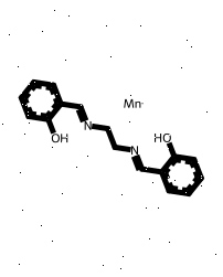 Oc1ccccc1/C=N/CC/N=C/c1ccccc1O.[Mn]